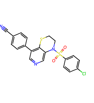 N#Cc1ccc(-c2cncc3c2SCCN3S(=O)(=O)c2ccc(Cl)cc2)cc1